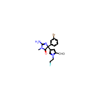 CN1C(=O)C(c2cccc(Br)c2)(c2cc(C=O)n(CCF)c2)N=C1N